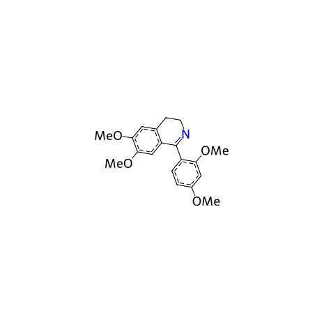 COc1ccc(C2=NCCc3cc(OC)c(OC)cc32)c(OC)c1